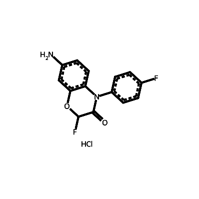 Cl.Nc1ccc2c(c1)OC(F)C(=O)N2c1ccc(F)cc1